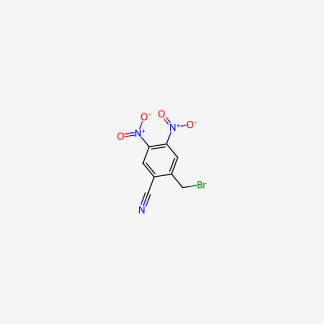 N#Cc1cc([N+](=O)[O-])c([N+](=O)[O-])cc1CBr